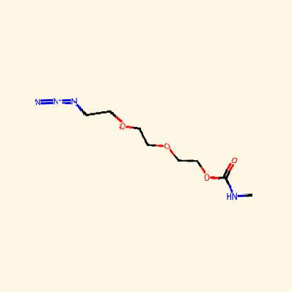 CNC(=O)OCCOCCOCCN=[N+]=[N-]